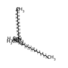 CCCCCCCCC=CCCCCCCCCOCC(C[N+](C)(C)C)OCCCCCCCCC=CCCCCCCCC